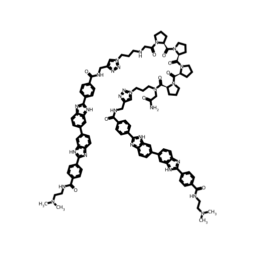 CN(C)CCNC(=O)c1ccc(-c2nc3ccc(-c4ccc5nc(-c6ccc(C(=O)NCc7cn(CCCNCC(=O)N8CCC[C@H]8C(=O)N8CCC[C@H]8C(=O)N8CCC[C@H]8C(=O)N8CCC[C@H]8C(=O)N(CCCn8cc(CNC(=O)c9ccc(-c%10nc%11ccc(-c%12ccc%13nc(-c%14ccc(C(=O)NCCN(C)C)cc%14)[nH]c%13c%12)cc%11[nH]%10)cc9)nn8)CC(N)=O)nn7)cc6)[nH]c5c4)cc3[nH]2)cc1